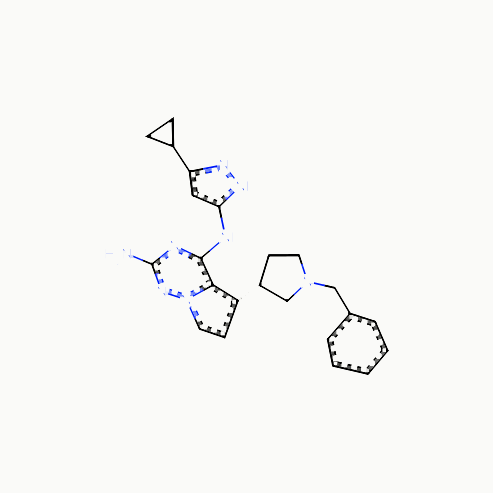 Nc1nc(Nc2cc(C3CC3)n[nH]2)c2c([C@@H]3CCN(Cc4ccccc4)C3)ccn2n1